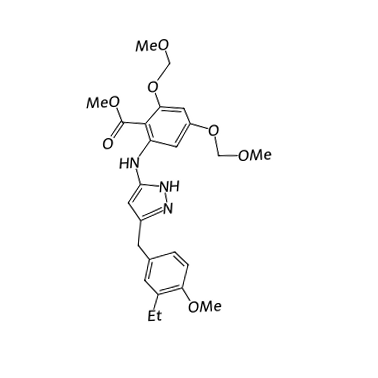 CCc1cc(Cc2cc(Nc3cc(OCOC)cc(OCOC)c3C(=O)OC)[nH]n2)ccc1OC